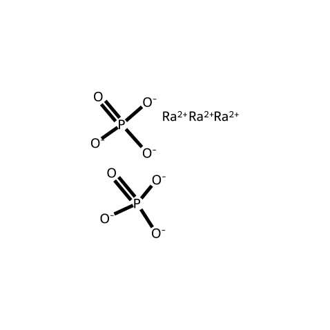 O=P([O-])([O-])[O-].O=P([O-])([O-])[O-].[Ra+2].[Ra+2].[Ra+2]